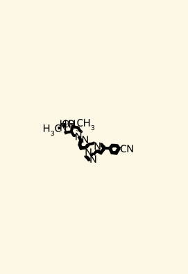 CC1CN(c2ccc3c(n2)Cn2cc(-c4ccc(C#N)cc4)cc2-c2nccn2-3)CC(CN(C)C)[C@@H]1O